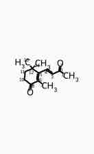 CC(=O)C=CC1=C(C)C(=O)CCC1(C)C